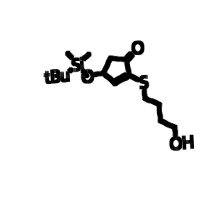 CC(C)(C)[Si](C)(C)OC1C=C(SCCCCO)C(=O)C1